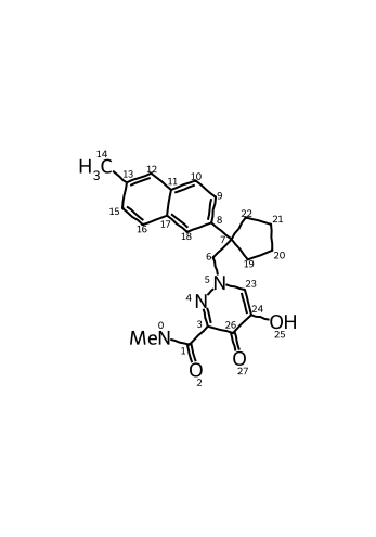 CNC(=O)c1nn(CC2(c3ccc4cc(C)ccc4c3)CCCC2)cc(O)c1=O